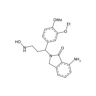 CCOc1cc(C(CCNO)N2Cc3cccc(N)c3C2=O)ccc1OC